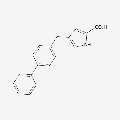 O=C(O)c1cc(Cc2ccc(-c3ccccc3)cc2)c[nH]1